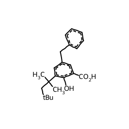 CC(C)(C)CC(C)(C)c1cc(Cc2ccccc2)cc(C(=O)O)c1O